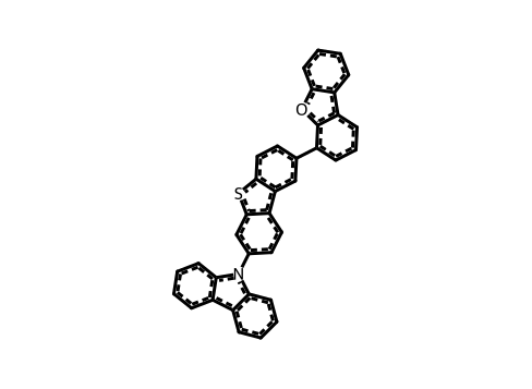 c1ccc2c(c1)oc1c(-c3ccc4sc5cc(-n6c7ccccc7c7ccccc76)ccc5c4c3)cccc12